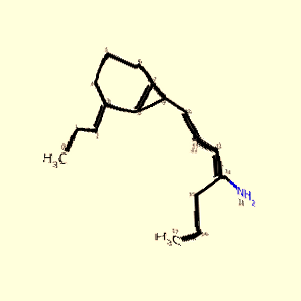 CC/C=C1\CCCC2=C1C2C=C/C=C(/N)CCC